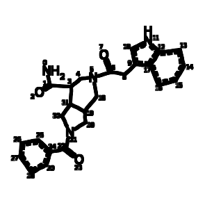 NC(=O)C1CN(C(=O)Cc2c[nH]c3ccccc23)CC2CN(C(=O)c3ccccc3)CC21